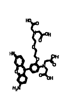 N=c1ccc2c(-c3ccc(N(CC(=O)O)CC(=O)O)c(OCCOCCN(CC(=O)O)CC(=O)O)c3)c3ccc(N)cc3oc-2c1